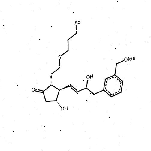 COCc1cccc(C[C@H](O)/C=C/[C@H]2[C@H](O)CC(=O)[C@@H]2CCSCCCC(C)=O)c1